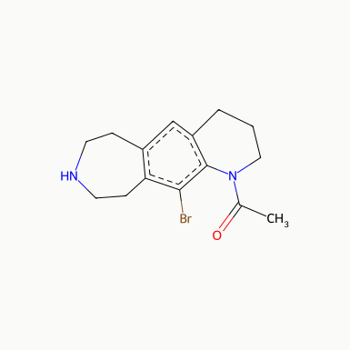 CC(=O)N1CCCc2cc3c(c(Br)c21)CCNCC3